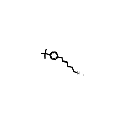 CC(C)(C)c1ccc(CC=CCCCN)cc1